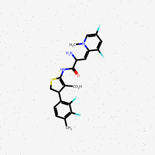 Cc1ccc(C2CSC(NC(=O)C(N)/C=C3/C(F)=CC(F)=CN3C)=C2C(=O)O)c(F)c1F